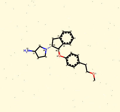 COCCc1ccc(O[C@@H]2c3ccccc3C[C@H]2N2CCC(N)C2)cc1